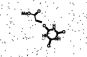 C=CC(=O)OC.O=c1[nH]c(=O)[nH]c(=O)[nH]1